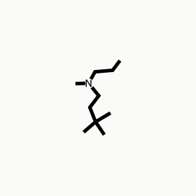 CCCN(C)CCC(C)(C)C